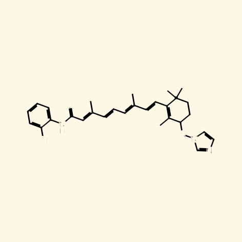 CC1=C(/C=C/C(C)=C/C=C/C(C)=C/C(=O)Nc2ccccc2Cl)C(C)(C)CCC1Sn1ccnc1